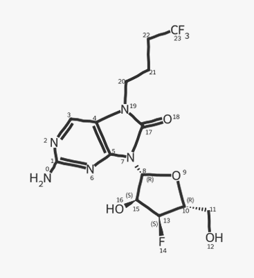 Nc1ncc2c(n1)n([C@@H]1O[C@H](CO)[C@@H](F)[C@H]1O)c(=O)n2CCCC(F)(F)F